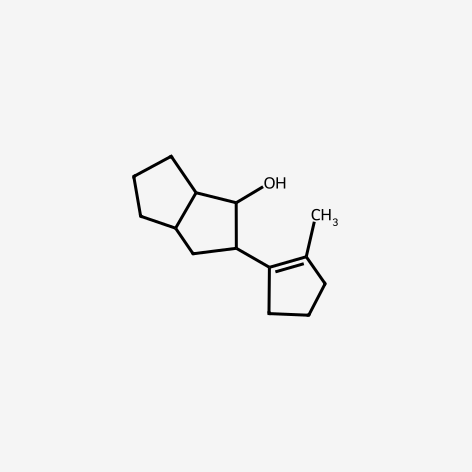 CC1=C(C2CC3CCCC3C2O)CCC1